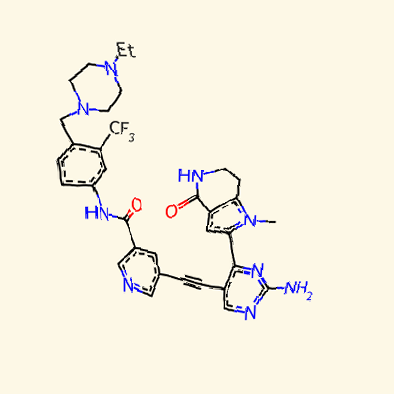 CCN1CCN(Cc2ccc(NC(=O)c3cncc(C#Cc4cnc(N)nc4-c4cc5c(n4C)CCNC5=O)c3)cc2C(F)(F)F)CC1